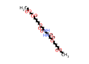 C=CC(=O)OCCOC(=O)CCCCCOC(=O)CC(=O)NCCNC(=O)CC(=O)OCCCCCC(=O)OCCC